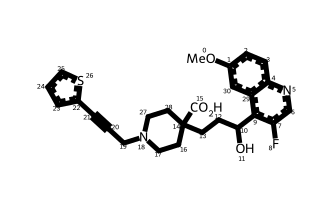 COc1ccc2ncc(F)c(C(O)CCC3(C(=O)O)CCN(CC#Cc4cccs4)CC3)c2c1